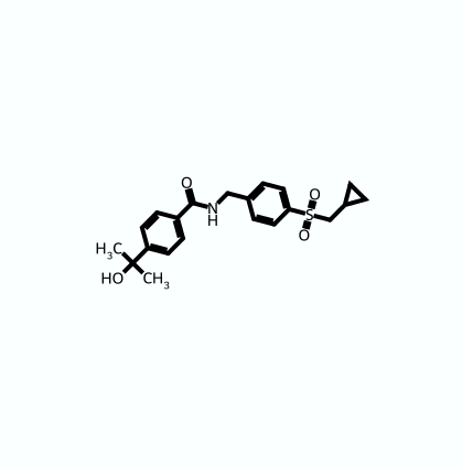 CC(C)(O)c1ccc(C(=O)NCc2ccc(S(=O)(=O)CC3CC3)cc2)cc1